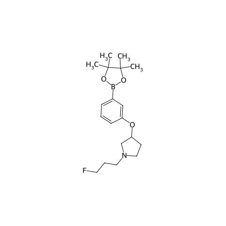 CC1(C)OB(c2cccc(OC3CCN(CCCF)C3)c2)OC1(C)C